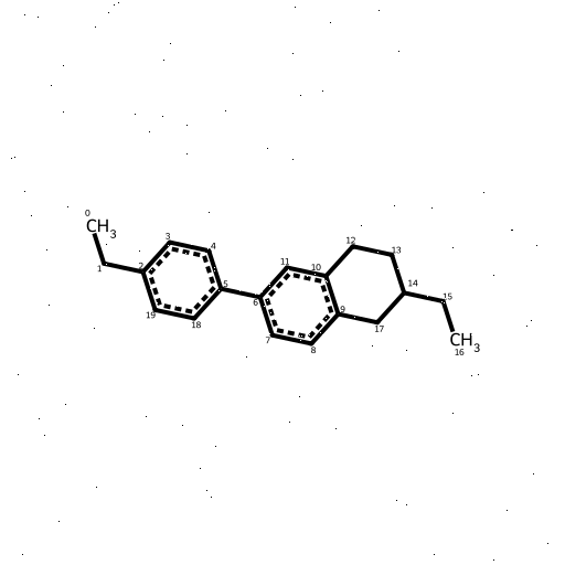 CCc1ccc(-c2ccc3c(c2)CCC(CC)C3)cc1